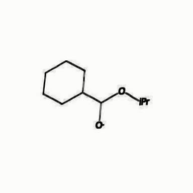 CC(C)OC([O])C1CCCCC1